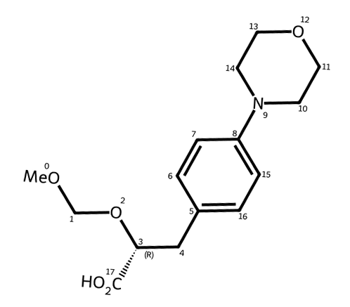 COCO[C@H](Cc1ccc(N2CCOCC2)cc1)C(=O)O